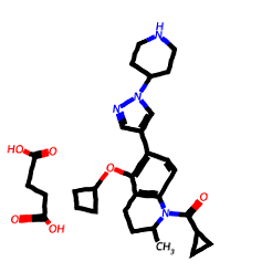 CC1CCc2c(ccc(-c3cnn(C4CCNCC4)c3)c2OC2CCC2)N1C(=O)C1CC1.O=C(O)CCC(=O)O